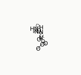 COCCCOc1cc(C(=O)N(CC2CNCC2CN(C(=O)NC2CCCCC2)C2CC2)C(C)C)ccc1OC